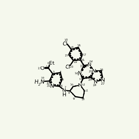 CCC(=O)c1ccc(NC2CCCN(c3nc(-c4ccc(Cl)cc4Cl)nn4cnnc34)C2)nc1N